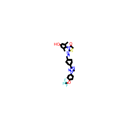 Cc1cc(O)cc(C)c1N1C(=O)CS/C1=N\N=C\c1ccc(-c2ncn(-c3ccc(OC(F)(F)F)cc3)n2)cc1